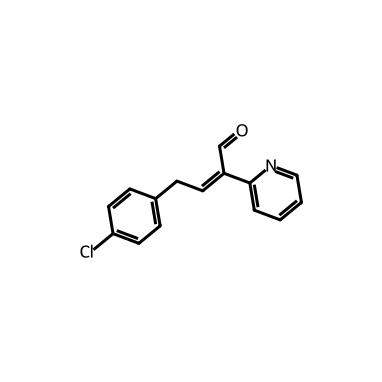 O=CC(=CCc1ccc(Cl)cc1)c1ccccn1